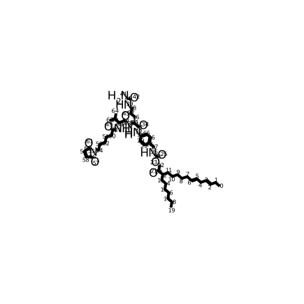 CCC=CCC=CCCCCCC(CCCCCCC)C(=O)COC(=O)NCc1ccc(NC(=O)[C@H](CCCNC(N)=O)NC(=O)[C@@H](NC(=O)CCCCCN2C(=O)C=CC2=O)C(C)C)cc1